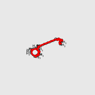 CO[C@H]1C[C@@H]2CC[C@@H](C)[C@@](O)(O2)C(=O)C(=O)N2CCCC[C@H]2C(=O)O[C@H]([C@H](C)C[C@@H]2CC[C@@H](OC(=O)NCCOCCOCCOCCOCCOCCOCCOCCOCC(=O)N3CCc4cc(Cn5nc(-c6ccc7oc(N)nc7c6)c6c(N)ncnc65)ccc4C3)[C@H](OC)C2)CC(=O)[C@H](C)/C=C(\C)[C@@H](O)[C@@H](OC)C(=O)[C@H](C)C[C@H](C)/C=C/C=C/C=C/1C